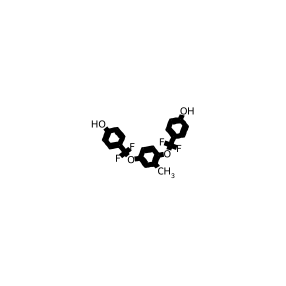 Cc1cc(OC(F)(F)c2ccc(O)cc2)ccc1OC(F)(F)c1ccc(O)cc1